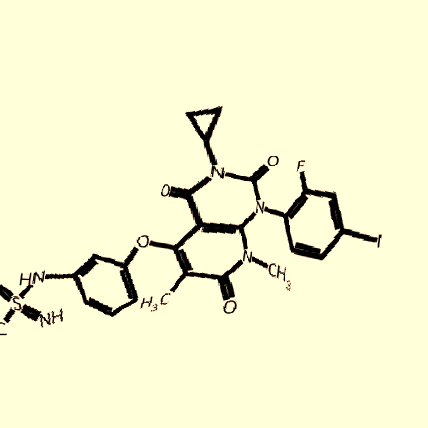 Cc1c(Oc2cccc(NS(C)(=N)=O)c2)c2c(=O)n(C3CC3)c(=O)n(-c3ccc(I)cc3F)c2n(C)c1=O